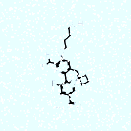 CCCCCOc1cc2c(nc1C(F)F)-c1c(F)c(=O)c(C(=O)O)cn1C1(CCC1)C2